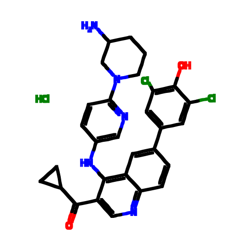 Cl.NC1CCCN(c2ccc(Nc3c(C(=O)C4CC4)cnc4ccc(-c5cc(Cl)c(O)c(Cl)c5)cc34)cn2)C1